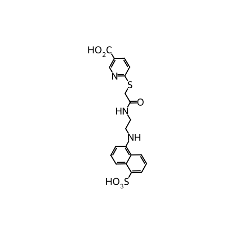 O=C(CSc1ccc(C(=O)O)cn1)NCCNc1cccc2c(S(=O)(=O)O)cccc12